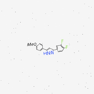 COc1ccc(-c2cc(-c3ccc(F)c(F)c3)n[nH]2)cc1